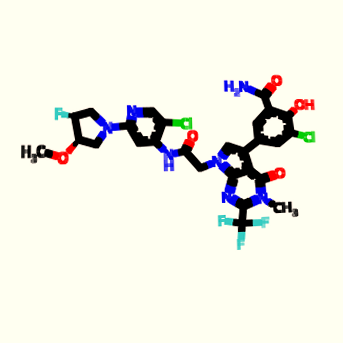 CO[C@@H]1CN(c2cc(NC(=O)Cn3cc(-c4cc(Cl)c(O)c(C(N)=O)c4)c4c(=O)n(C)c(C(F)(F)F)nc43)c(Cl)cn2)C[C@@H]1F